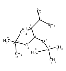 CCC([SiH3])[SiH2]C(O[Si](C)(C)C)O[Si](C)(C)C